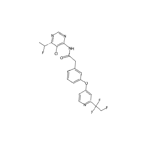 CC(F)c1ncnc(NC(=O)Cc2cccc(Oc3ccnc(C(F)(F)CF)c3)c2)c1Cl